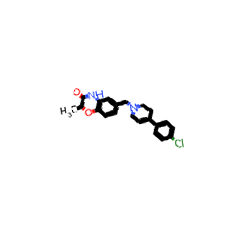 CC1Oc2ccc(CN3CC=C(c4ccc(Cl)cc4)CC3)cc2NC1=O